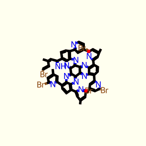 CC(=C/C(=N)c1ccc(-c2cc(C)ccn2)c2nc3c(nc12)c1nc2c(-c4cc(C)cc(Br)n4)ccc(-c4cc(C)cc(Br)n4)c2nc1c1nc2c(-c4cc(C)cc(Br)n4)ccc(-c4cc(C)cc(Br)n4)c2nc31)/C=C/Br